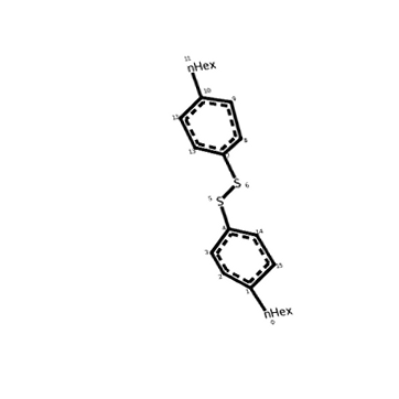 CCCCCCc1ccc(SSc2ccc(CCCCCC)cc2)cc1